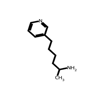 CC(N)CCCCc1cccnc1